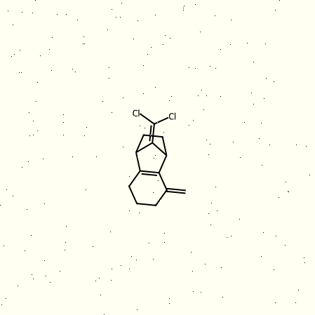 C=C1CCCC2=C1C1CCC2C1=C(Cl)Cl